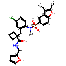 CCN(c1ccc(Cl)cc1CC1(C(=O)NCc2ccco2)CCC1)S(=O)(=O)c1ccc2oc(C(=O)O)c(C)c2c1